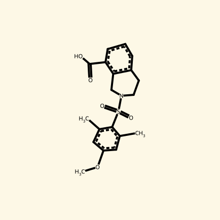 COc1cc(C)c(S(=O)(=O)N2CCc3cccc(C(=O)O)c3C2)c(C)c1